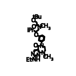 CCNc1ncc2c(n1)N(C)CCN(c1cccc(OC(CN(C)C(=O)COC(C)(C)C)C(C)C)c1)C2=O